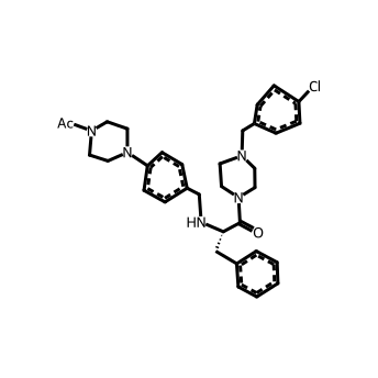 CC(=O)N1CCN(c2ccc(CN[C@@H](Cc3ccccc3)C(=O)N3CCN(Cc4ccc(Cl)cc4)CC3)cc2)CC1